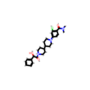 CN(C)C(=O)c1ccc(N2CCC(C3CCN(C(=O)C(O)c4ccccc4)CC3)CC2)cc1Cl